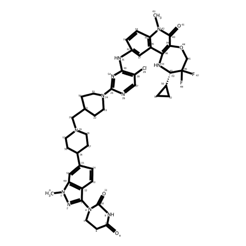 Cn1nc(N2CCC(=O)NC2=O)c2ccc(C3CCN(CC4CCN(c5ncc(Cl)c(Nc6ccc7c(c6)c6c(c(=O)n7C)OCC(F)(F)[C@H](C7CC7)N6)n5)CC4)CC3)cc21